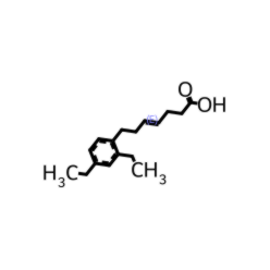 CCc1ccc(CC/C=C/CCC(=O)O)c(CC)c1